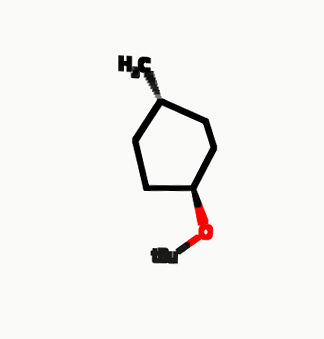 CC(C)(C)O[C@H]1CC[C@H](C)CC1